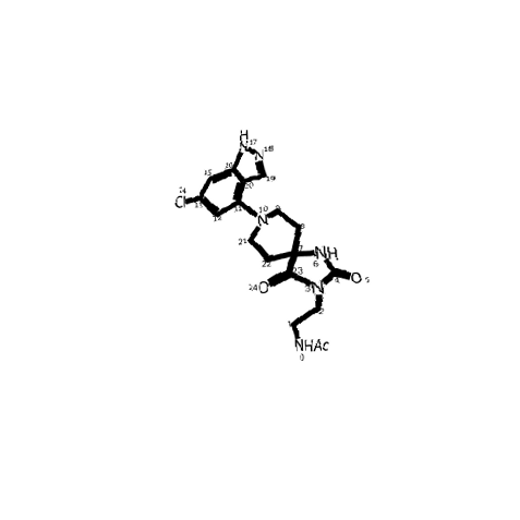 CC(=O)NCCN1C(=O)NC2(CCN(c3cc(Cl)cc4[nH]ncc34)CC2)C1=O